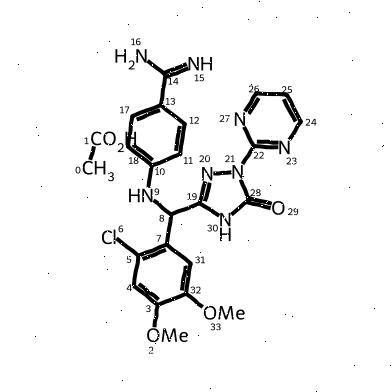 CC(=O)O.COc1cc(Cl)c(C(Nc2ccc(C(=N)N)cc2)c2nn(-c3ncccn3)c(=O)[nH]2)cc1OC